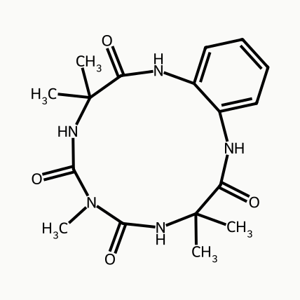 CN1C(=O)NC(C)(C)C(=O)Nc2ccccc2NC(=O)C(C)(C)NC1=O